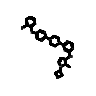 Cc1c(Nc2ncnc(N3CCN(c4ncc(Sc5ccccc5F)cn4)CC3)n2)cnn1C1COC1